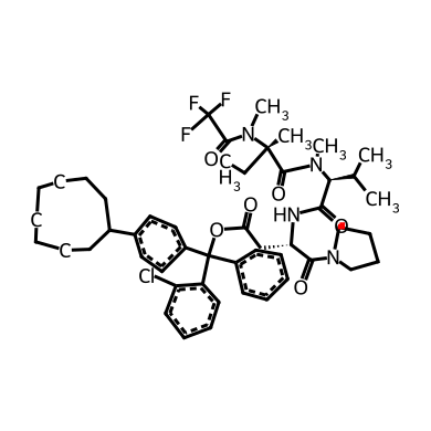 CC[C@@](C)(C(=O)N(C)[C@H](C(=O)N[C@@H](CC(=O)OC(c1ccccc1)(c1ccc(C2CCCCCCCC2)cc1)c1ccccc1Cl)C(=O)N1CCCC1)C(C)C)N(C)C(=O)C(F)(F)F